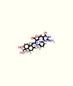 C=C1CCC2[C@](C)(CC[C@@H](O)[C@@]2(C)CO)C1CC(Nc1ccccn1)C1=C/C(=C\c2cnc(N)[nH]c2=O)OC1=O